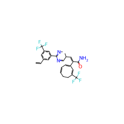 C=Cc1cc(C(/N=C\C(C)\C=C(C(N)=O)/C2=C/C=C\CC/C(C(F)(F)F)=C\2)=N/C)cc(C(F)(F)F)c1